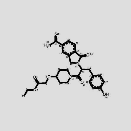 CCOC(=O)COC1CCN(C(=O)C(Cc2ccc(O)cc2)N2Cc3cc(C(N)=S)ccc3C2=O)CC1